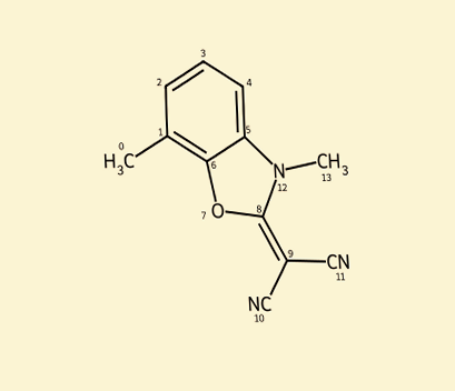 Cc1cccc2c1OC(=C(C#N)C#N)N2C